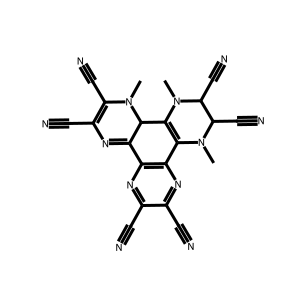 CN1C(C#N)=C(C#N)N=C2c3nc(C#N)c(C#N)nc3C3=C(C21)N(C)C(C#N)C(C#N)N3C